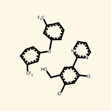 FC(F)(F)c1cccc(Oc2cccc(C(F)(F)F)c2)c1.OCc1cc(-c2ncccn2)c(Cl)cc1Cl